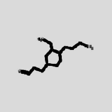 CCCCC1CCC(CCC=O)CC1CC